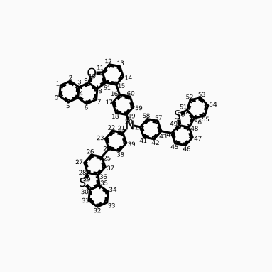 c1ccc2c(c1)ccc1c2oc2cccc(-c3ccc(N(c4ccc(-c5ccc6sc7ccccc7c6c5)cc4)c4ccc(-c5cccc6c5sc5ccccc56)cc4)cc3)c21